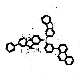 CC1(C)C2=CC(N(c3cccc(-c4cccc5c4ccc4ccccc45)c3)c3ccc4oc5ccccc5c4c3)=CCC2(C)c2ccc(-c3ccccc3)cc21